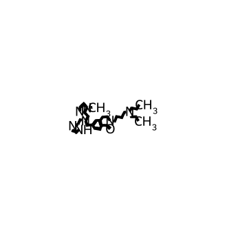 CCCN(CCC)CCCCN1CCc2cc(CN(Cc3ncc[nH]3)Cc3nccn3C)ccc2C1=O